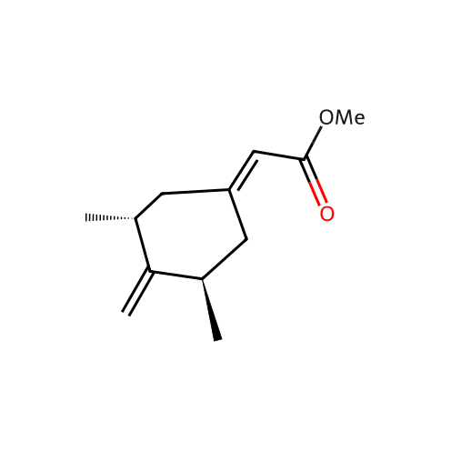 C=C1[C@H](C)CC(=CC(=O)OC)C[C@H]1C